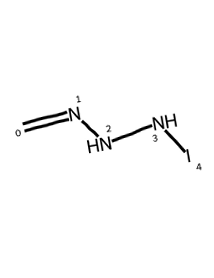 C=NNNI